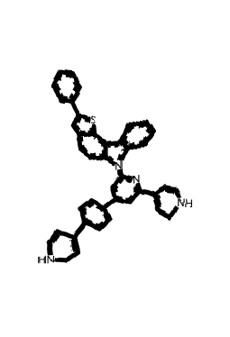 C1=CC(c2ccc(-c3cc(C4=CCNC=C4)nc(-n4c5ccccc5c5c6sc(-c7ccccc7)cc6ccc54)c3)cc2)=CCN1